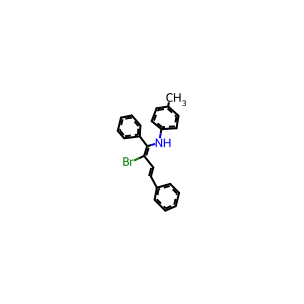 Cc1ccc(N/C(=C(Br)\C=C\c2ccccc2)c2ccccc2)cc1